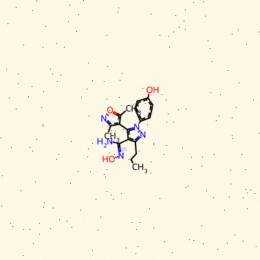 CCCc1nn(-c2ccc(O)cc2)c(-c2c(C)noc2C)c1/C(N)=N/O